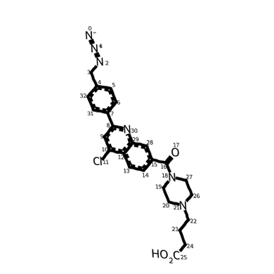 [N-]=[N+]=NCc1ccc(-c2cc(Cl)c3ccc(C(=O)N4CCN(CCCC(=O)O)CC4)cc3n2)cc1